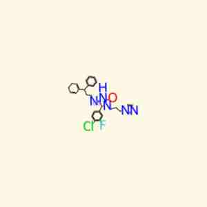 O=C1N/C(=N\CCC(C2=CCCC=C2)c2ccccc2)C(c2ccc(Cl)c(F)c2)N1CCCn1ccnc1